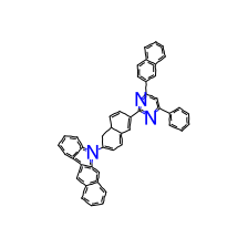 C1=CC2CC(n3c4ccccc4c4cc5ccccc5cc43)=CC=C2C=C1c1nc(-c2ccccc2)cc(-c2ccc3ccccc3c2)n1